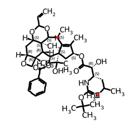 C=CC1O[C@H]2C[C@H]3OC[C@@]3(C)[C@H]3[C@H](OC(=O)c4ccccc4)[C@]4(C(C)(C)O)C[C@H](OC(=O)[C@H](O)[C@H](CC(C)C)NC(=O)OC(C)(C)C)C(C)=C4[C@H](C)[C@H](O1)[C@]23C